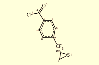 C1CS1.O=C(Cl)c1ccc(C(F)(F)F)cc1